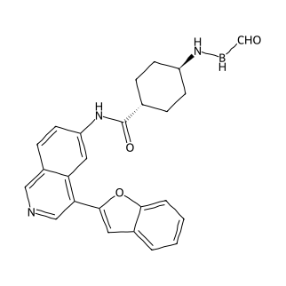 O=CBN[C@H]1CC[C@H](C(=O)Nc2ccc3cncc(-c4cc5ccccc5o4)c3c2)CC1